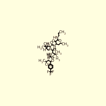 C=CCNC(=O)C(=O)C(CCC)NC(=O)[C@@H]1[C@@H]2[C@H](CN1C(=O)[C@@H](NC(=O)N[C@H](C(=O)c1ccc(C(F)(F)F)cc1)C(C)C)C(C)(C)C)C2(C)C